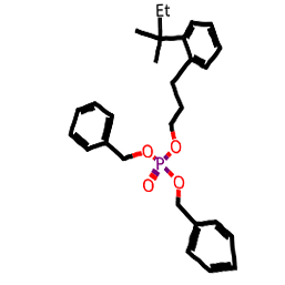 CCC(C)(C)c1ccccc1CCCOP(=O)(OCc1ccccc1)OCc1ccccc1